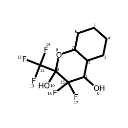 OC1C2CCCCC2OC(O)(C(F)(F)F)C1(F)F